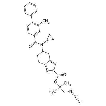 Cc1cc(C(=O)N(C2CC2)C2CCc3nn(C(=O)OC(C)(C)CN=[N+]=[N-])cc3C2)ccc1-c1ccccc1